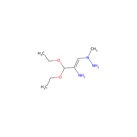 CCOC(OCC)/C(N)=C/N(C)N